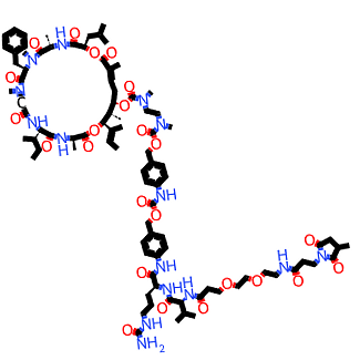 C/C=C(\C)[C@H]1OC(=O)[C@@H](C)NC(=O)[C@H](C(C)CC)NC(=O)CN(C)C(=O)[C@@H](Cc2ccccc2)N(C)C(=O)[C@H](C)NC(=O)[C@@H](CC(C)C)OC(=O)/C(C)=C/C[C@H](OC(=O)N(C)CCN(C)C(=O)OCc2ccc(NC(=O)OCc3ccc(NC(=O)[C@H](CCCNC(N)=O)NC(=O)[C@@H](NC(=O)CCOCCOCCNC(=O)CCN4C(=O)CC(C)C4=O)C(C)C)cc3)cc2)[C@@H]1C